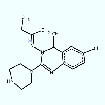 CC/C(C)=N/N1C(N2CCNCC2)=Nc2ccc(Cl)cc2C1C